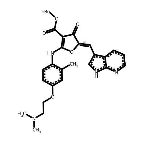 CCCCOC(=O)C1=C(Nc2ccc(OCCN(C)C)cc2C)O/C(=C\c2c[nH]c3ncccc23)C1=O